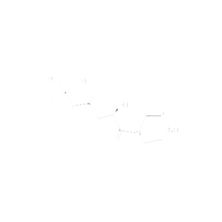 CC(C)(O)CC(=O)C[C@@H](O)C(=O)N1CCNCC1